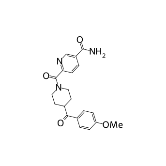 COc1ccc(C(=O)C2CCN(C(=O)c3ccc(C(N)=O)cn3)CC2)cc1